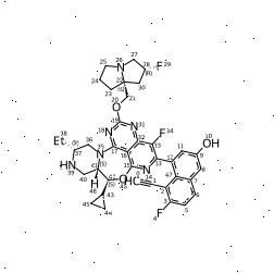 C#Cc1c(F)ccc2cc(O)cc(-c3nc4c5c(nc(OC[C@@]67CCCN6C[C@H](F)C7)nc5c3F)N3C[C@@H](CC)NC[C@H]3[C@H](C3CC3)O4)c12